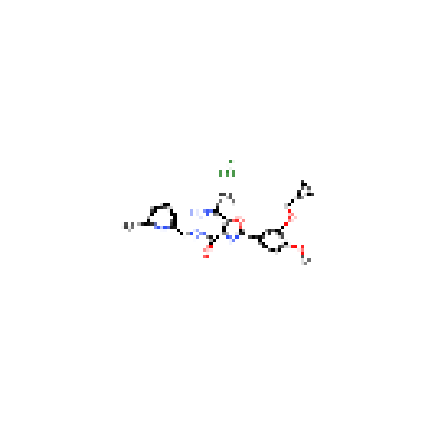 CCOc1ccc(-c2nc(C(=O)NCc3cccc(C(=O)O)n3)c([C@H](C)N)o2)cc1OCC1CC1.Cl.Cl